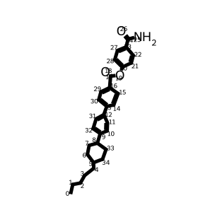 CCCCCC1CCC(c2ccc(-c3ccc(C(=O)Oc4ccc(C(N)=O)cc4)cc3)cc2)CC1